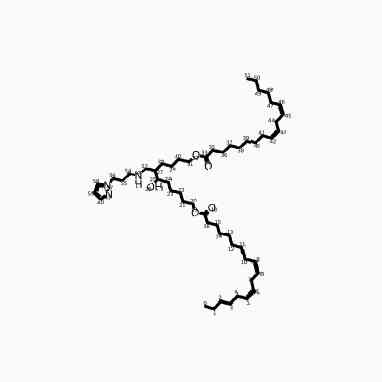 CCCCC/C=C\C/C=C\CCCCCCCC(=O)OCCCCCC(O)C(CCCCOC(=O)CCCCCCC/C=C\C/C=C\CCCCC)CNCCCn1cccn1